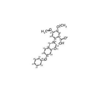 COc1cc(C(=O)O)c(N(C=O)Cc2ccc(Oc3ccccc3)cc2)cc1OC